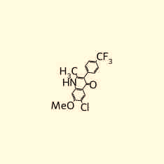 COc1cc2[nH]c(C)c(-c3ccc(C(F)(F)F)cc3)c(=O)c2cc1Cl